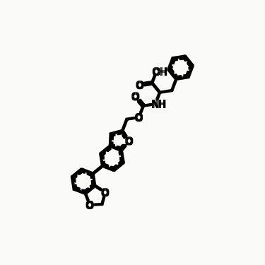 O=C(NC(Cc1ccccc1)C(=O)O)OCc1cc2cc(-c3cccc4c3OCO4)ccc2o1